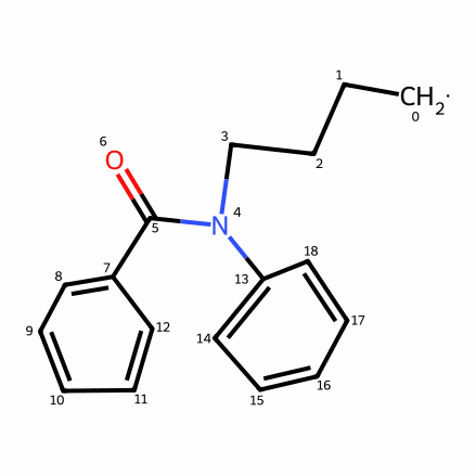 [CH2]CCCN(C(=O)c1ccccc1)c1ccccc1